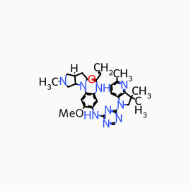 C=CC(=O)Nc1cc(Nc2ncnc(N3CC(C)(C)c4nc(C)ccc43)n2)c(OC)cc1N1CC[C@@H]2CN(C)CC21